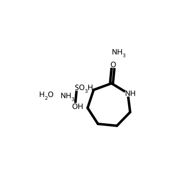 N.N.O.O=C1CCCCCN1.O=S(=O)(O)O